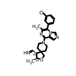 Cc1nc(N2CCC3(CC2)CO[C@@H](C)[C@H]3C=N)c2cncn2c1-c1cccc(Cl)c1